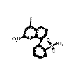 NS(=O)(=O)c1ccccc1-c1cccc2c(F)cc([N+](=O)[O-])nc12